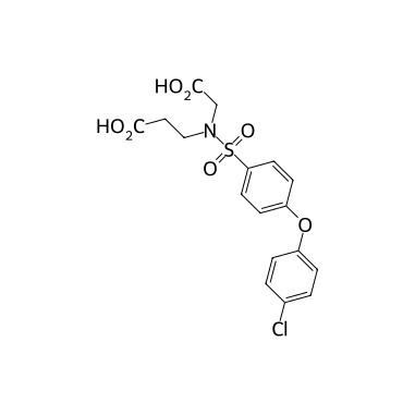 O=C(O)CCN(CC(=O)O)S(=O)(=O)c1ccc(Oc2ccc(Cl)cc2)cc1